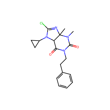 CN1C(=O)N(CCc2ccccc2)C(=O)C2N(C3CC3)C(Cl)=NC21C